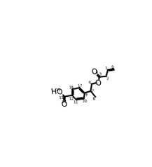 C=CCC(=O)OCC(C)c1ccc(C(=O)O)cc1